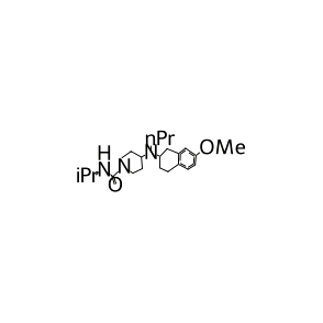 CCCN(C1CCN(C(=O)NC(C)C)CC1)C1CCc2ccc(OC)cc2C1